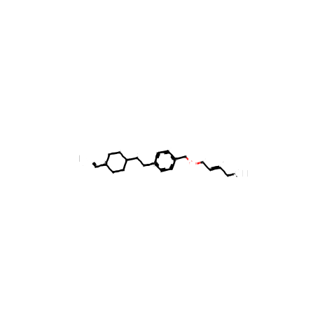 C=CC1CCC(CCc2ccc(COCC=CCC)cc2)CC1